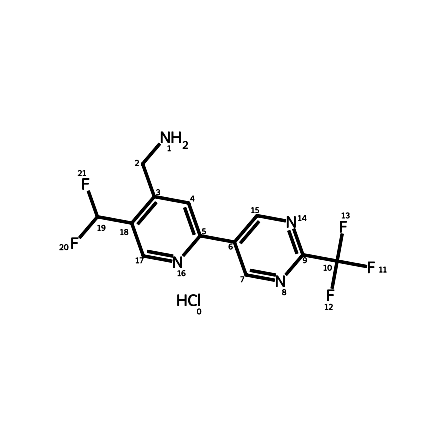 Cl.NCc1cc(-c2cnc(C(F)(F)F)nc2)ncc1C(F)F